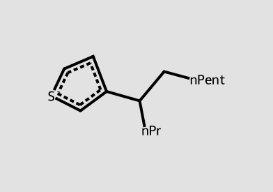 CCCCCCC(CCC)c1ccsc1